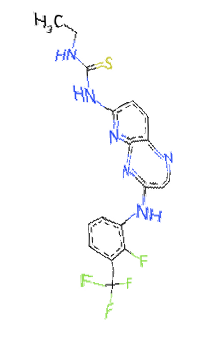 CCNC(=S)Nc1ccc2ncc(Nc3cccc(C(F)(F)F)c3F)nc2n1